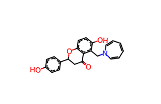 O=C1CC(c2ccc(O)cc2)Oc2ccc(O)c(CN3C=CC=CC=C3)c21